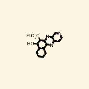 CCOC(=O)c1c(O)c2ccccc2c2nc3ccncc3nc12